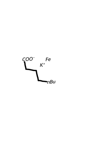 CCCCCCCC(=O)[O-].[Fe].[K+]